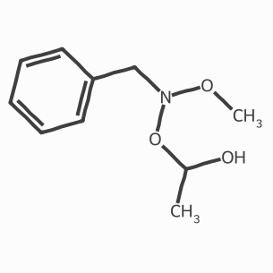 CON(Cc1ccccc1)OC(C)O